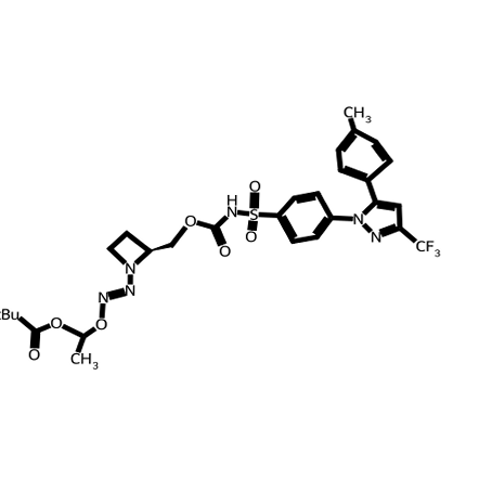 Cc1ccc(-c2cc(C(F)(F)F)nn2-c2ccc(S(=O)(=O)NC(=O)OC[C@@H]3CCN3N=NOC(C)OC(=O)C(C)(C)C)cc2)cc1